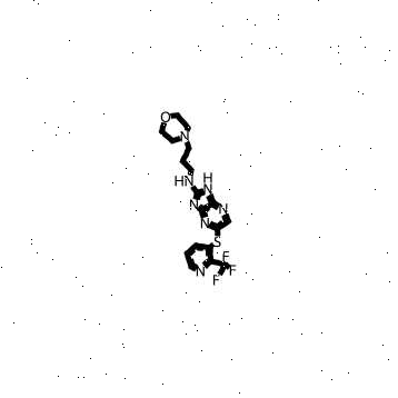 FC(F)(F)c1ncccc1Sc1cnc2[nH]c(NCCCN3CCOCC3)nc2n1